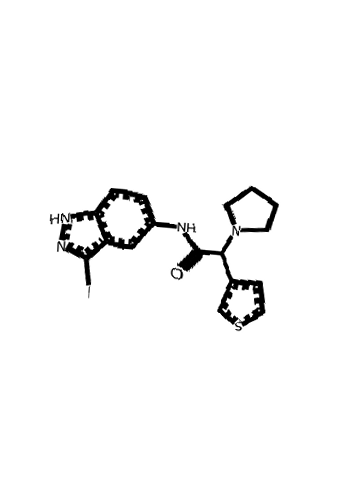 O=C(Nc1ccc2[nH]nc(I)c2c1)C(c1ccsc1)N1CCCC1